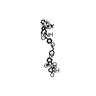 CN1CCC[C@@H]1c1cc2cnc(NC(=O)c3ccc(OCCC4CCN(c5ccc6c(c5)C(=O)N(C5CCC(=O)NC5=O)C6=O)CC4)cc3)cc2n1C(=O)OC(C)(C)C